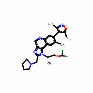 Cc1cc2c(cc1-c1c(C)noc1C)ncc1nc(CN3CCCC3)n([C@@H](C)COC(F)F)c12